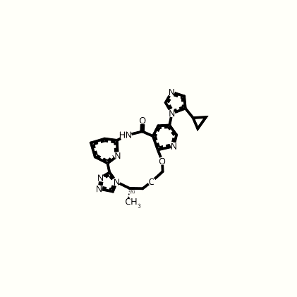 C[C@H]1CCCOc2ncc(-n3cncc3C3CC3)cc2C(=O)Nc2cccc(n2)-c2nncn21